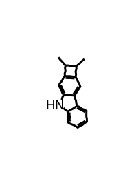 CC1c2cc3[nH]c4ccccc4c3cc2C1C